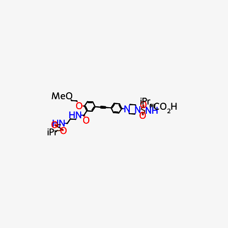 COCCOc1ccc(C#Cc2ccc(N3CCN(S(=O)(=O)N[C@@H](C(=O)O)C(C)C)CC3)cc2)cc1C(=O)NCCCNS(=O)(=O)C(C)C